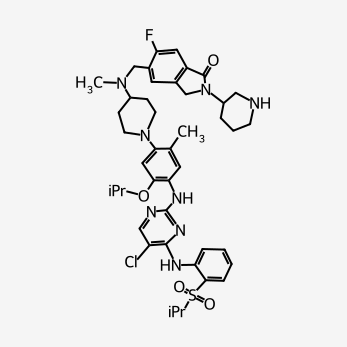 Cc1cc(Nc2ncc(Cl)c(Nc3ccccc3S(=O)(=O)C(C)C)n2)c(OC(C)C)cc1N1CCC(N(C)Cc2cc3c(cc2F)C(=O)N(C2CCCNC2)C3)CC1